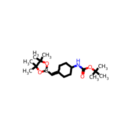 CC(C)(C)OC(=O)NC1CCC(=CB2OC(C)(C)C(C)(C)O2)CC1